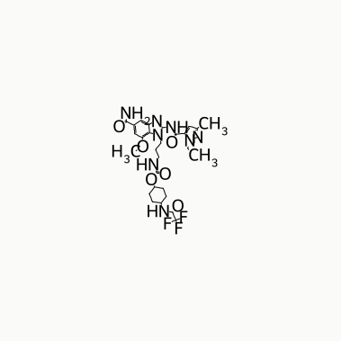 CCn1nc(C)cc1C(=O)Nc1nc2cc(C(N)=O)cc(OC)c2n1CCCNC(=O)OC1CCC(NC(=O)C(F)(F)F)CC1